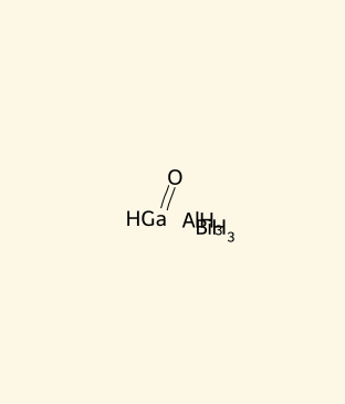 [AlH3].[BiH3].[O]=[GaH]